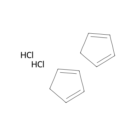 C1=CCC=C1.C1=CCC=C1.Cl.Cl